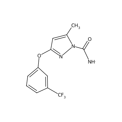 Cc1cc(Oc2cccc(C(F)(F)F)c2)nn1C([NH])=O